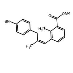 COC(=O)c1cccc(C=C(C)Cc2ccc(C(C)(C)C)cc2)c1N